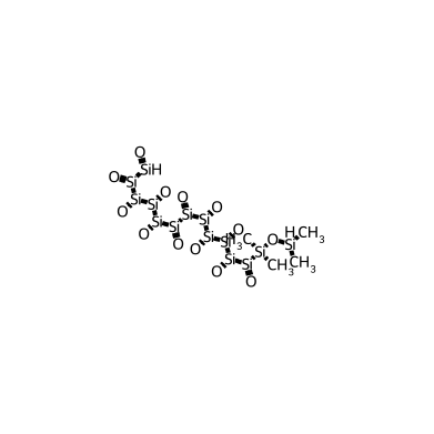 C[SiH](C)O[Si](C)(C)[Si](=O)[Si](=O)[Si](=O)[Si](=O)[Si](=O)[Si](=O)[Si](=O)[Si](=O)[Si](=O)[Si](=O)[Si](=O)[SiH]=O